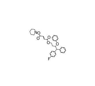 O=C(/C=C/C(=O)ON1CCCCC1)OCCC(Oc1ccccc1)C(c1ccccc1)c1ccc(F)cc1